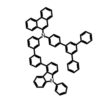 c1ccc(-c2cc(-c3ccccc3)cc(-c3ccc(N(c4cccc(-c5cccc(-c6cccc7c6c6ccccc6n7-c6ccccc6)c5)c4)c4cc5ccccc5c5ccccc45)cc3)c2)cc1